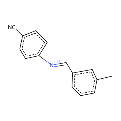 Cc1cccc(/C=N/c2ccc(C#N)cc2)c1